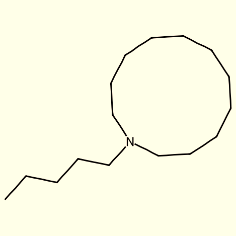 CCCCCN1CCCCCCCCCCC1